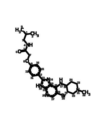 CC(C)CNC(=O)COc1ccc(-c2nc3c(NC4CCN(C)CC4)c(Br)cnc3[nH]2)cc1